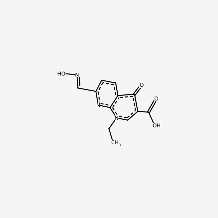 CCn1cc(C(=O)O)c(=O)c2ccc(C=NO)nc21